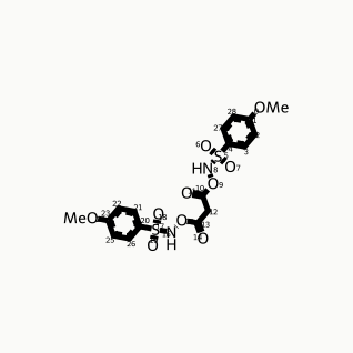 COc1ccc(S(=O)(=O)NOC(=O)CC(=O)ONS(=O)(=O)c2ccc(OC)cc2)cc1